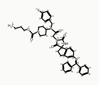 CCCCOC(=O)N1CCC(N(Cc2ccc(F)cc2)C(=O)CN2C(=O)NC3(CCc4cc(N=C(c5ccccc5)c5ccccc5)ccc43)C2=O)CC1